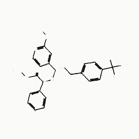 CNC(=O)[C@@H](N[C@@H](CCc1ccc(C(F)(F)F)cc1)c1ccnc(OC)c1)c1ccccc1